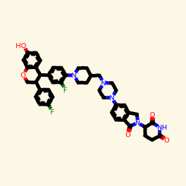 O=C1CCC(N2Cc3cc(N4CCN(CC5CCN(c6ccc(C7c8ccc(O)cc8OCC7c7ccc(F)cc7)cc6F)CC5)CC4)ccc3C2=O)C(=O)N1